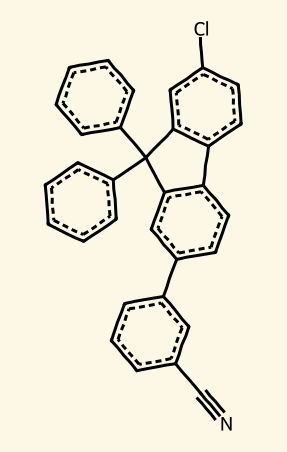 N#Cc1cccc(-c2ccc3c(c2)C(c2ccccc2)(c2ccccc2)c2cc(Cl)ccc2-3)c1